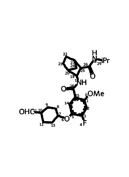 COc1cc(F)c(OC2CCC(C=O)CC2)cc1C(=O)NC1C2CCC(C2)C1C(=O)NC(C)C